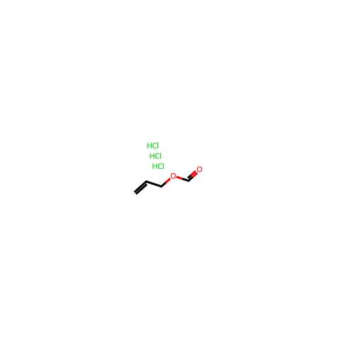 C=CCOC=O.Cl.Cl.Cl